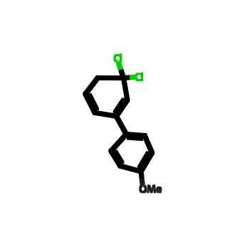 COc1ccc(C2=CC(Cl)(Cl)CC=C2)cc1